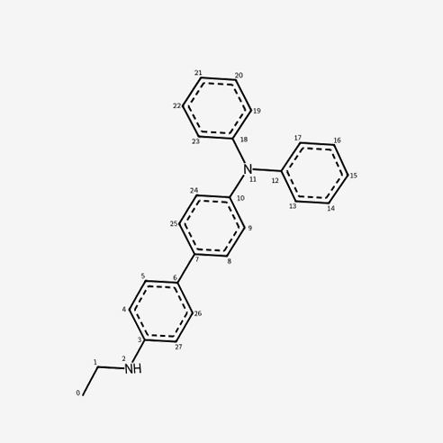 CCNc1ccc(-c2ccc(N(c3ccccc3)c3ccccc3)cc2)cc1